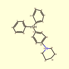 c1ccc([SiH](c2ccccc2)c2ccc(N3CCCCC3)cc2)cc1